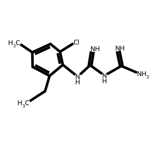 CCc1cc(C)cc(Cl)c1NC(=N)NC(=N)N